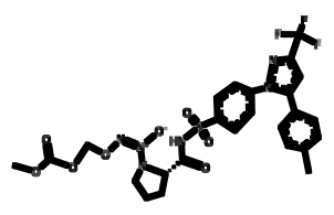 COC(=O)OCO/N=[N+](/[O-])N1CCC[C@H]1C(=O)NS(=O)(=O)c1ccc(-n2nc(C(F)(F)F)cc2-c2ccc(C)cc2)cc1